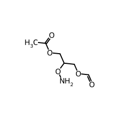 CC(=O)OCC(COC=O)ON